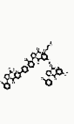 COCCOc1cc(OC)cc(C(=O)N2[C@@H](c3ccccc3Cl)CC[C@H]2C(=O)O)c1.COc1cc(F)cc(C(=O)N2[C@@H](c3ccccc3Cl)CC[C@H]2C(=O)O)c1.O=C(O)[C@@H]1CC[C@H](c2ccccc2Cl)N1C(=O)c1ccc(-c2ccccc2)nc1